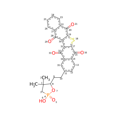 CC1(C)CP(=O)(O)OC1CCc1ccc2c(=O)c3sc4c(=O)c5ccccc5c(=O)c4c3c(=O)c2c1